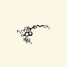 CCCCN1CC(C(=O)N2CC=C3[C@H]2[C@@H](C(C)C)C(=O)N3S(C)(=O)=O)C1